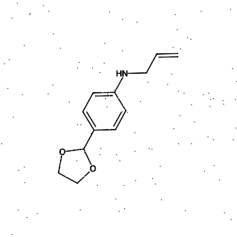 C=CCNc1ccc(C2OCCO2)cc1